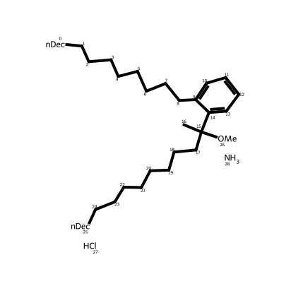 CCCCCCCCCCCCCCCCCCc1ccccc1C(C)(CCCCCCCCCCCCCCCCCC)OC.Cl.N